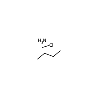 CCCC.CCl.N